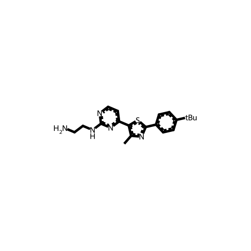 Cc1nc(-c2ccc(C(C)(C)C)cc2)sc1-c1ccnc(NCCN)n1